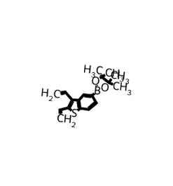 C=Cc1sc2ccc(B3OC(C)(C)C(C)(C)O3)cc2c1C=C